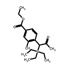 CCOC(=O)c1ccc(C(C(C)=O)[Si](CC)(CC)CC)c(C)c1